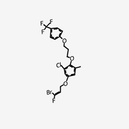 Cc1cc(OCC=C(F)Br)cc(Cl)c1OCCCOc1ccc(C(F)(F)F)cc1